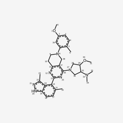 COc1ccc(C)c(N2CCc3nc(-c4c(C)ccc5[nH]nc(C)c45)nc(N4CC(OC)C(N(C)C)C4)c3C2)c1